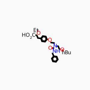 CCCCOCCN(CCOc1ccc(CC(OCC)C(=O)O)cc1)C(=O)NCc1ccccc1